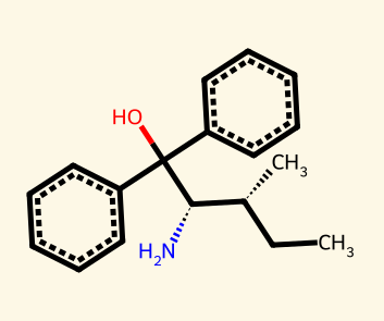 CC[C@@H](C)[C@H](N)C(O)(c1ccccc1)c1ccccc1